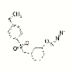 CSc1ccc(S(=O)(=O)CC2CCCC(ON=[N+]=[N-])C2)cc1